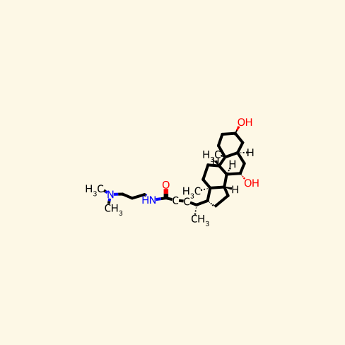 C[C@H](CCC(=O)NCCCN(C)C)[C@H]1CC[C@H]2[C@@H]3[C@@H](O)C[C@@H]4C[C@H](O)CC[C@]4(C)[C@H]3CC[C@]12C